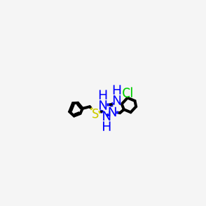 ClC1CCCC2CN3NC(SCc4ccccc4)NC3NC12